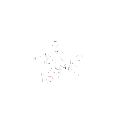 CC(C)(C)c1cc(C(C)(C)C)c2c(c1)c1cc(C(C)(C)C)cc3c1n2-c1c(C2=CCC(c4ccccc4)C=C2)cc(-c2nc(C4=CCCC=C4)nc(-c4ccccc4)n2)cc1-c1ccc(-c2ccccc2)c(c1)C3(C)C